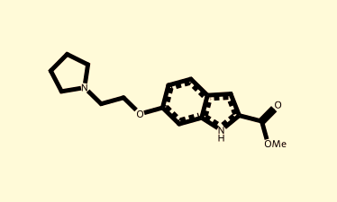 COC(=O)c1cc2ccc(OCCN3CCCC3)cc2[nH]1